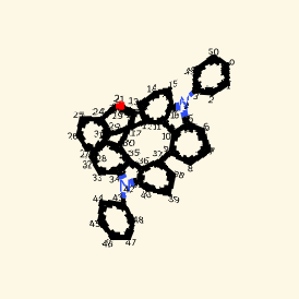 c1ccc(-n2c3cccc4c3c3c(cccc32)C2(c3ccccc3-c3ccccc32)c2cccc3c2c2c-4cccc2n3-c2ccccc2)cc1